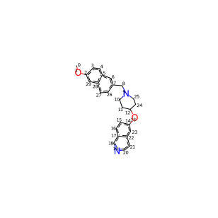 COc1ccc2cc(CN3CCC(Oc4ccc5cnccc5c4)CC3)ccc2c1